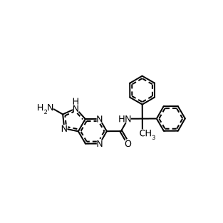 CC(NC(=O)c1ncc2nc(N)[nH]c2n1)(c1ccccc1)c1ccccc1